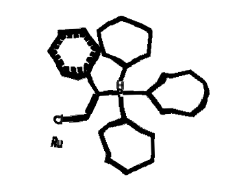 ClC=C(c1ccccc1)[PH](C1CCCCC1)(C1CCCCC1)C1CCCCC1.[Ru]